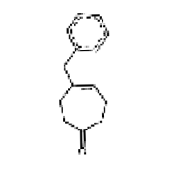 O=C1CCC=C(Cc2ccccc2)CC1